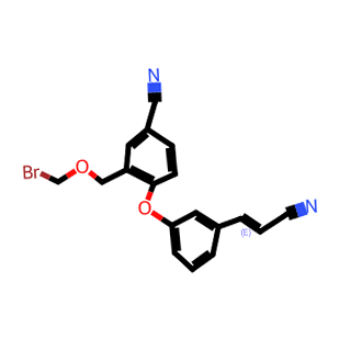 N#C/C=C/c1cccc(Oc2ccc(C#N)cc2COCBr)c1